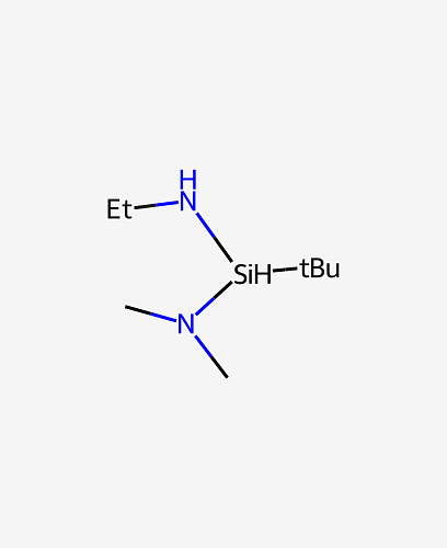 CCN[SiH](N(C)C)C(C)(C)C